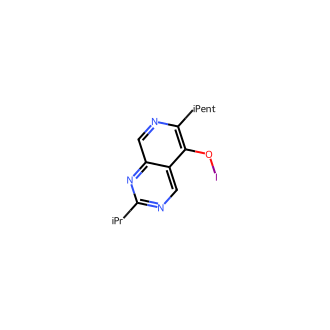 CCCC(C)c1ncc2nc(C(C)C)ncc2c1OI